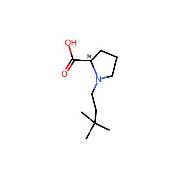 CC(C)(C)CCN1CCC[C@@H]1C(=O)O